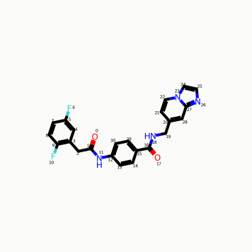 O=C(Cc1cc(F)ccc1F)Nc1ccc(C(=O)NCc2ccn3ccnc3c2)cc1